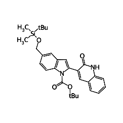 CC(C)(C)OC(=O)n1c(-c2cc3ccccc3[nH]c2=O)cc2cc(CO[Si](C)(C)C(C)(C)C)ccc21